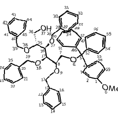 COc1ccc(C(OC[C@@H](OCc2ccccc2)[C@@H](OCc2ccccc2)[C@H](OCc2ccccc2)[C@@H](CO)OCc2ccccc2)(c2ccccc2)c2ccccc2)cc1